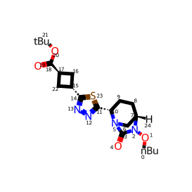 CCCCON1C(=O)N2C[C@@H]1CC[C@H]2c1nnc([C@H]2C[C@H](C(=O)OC(C)(C)C)C2)s1